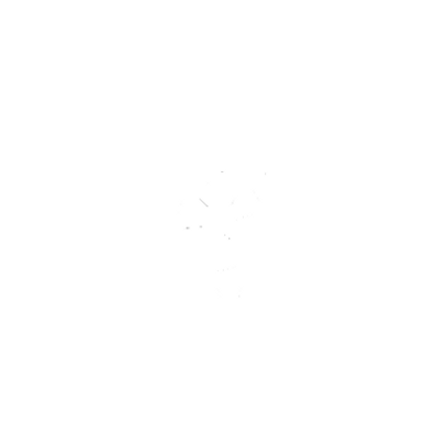 CC(C(=O)O)C1(c2ccc(F)c(N(Cc3ccccc3)Cc3ccccc3)c2)CC1